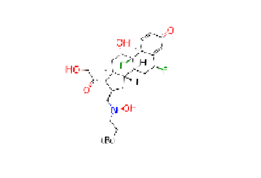 CC(C)(C)CCN(O)C[C@@H]1C[C@H]2[C@@H]3C[C@H](F)C4=CC(=O)C=C[C@]4(C)[C@@]3(F)[C@@H](O)C[C@]2(C)[C@H]1C(=O)CO